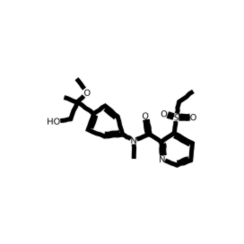 CCS(=O)(=O)c1cccnc1C(=O)N(C)c1ccc(C(C)(CO)OC)cc1